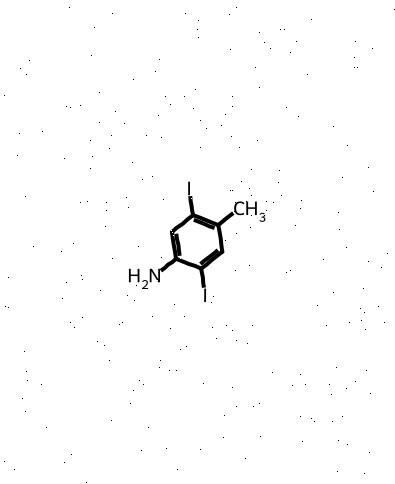 Cc1cc(I)c(N)cc1I